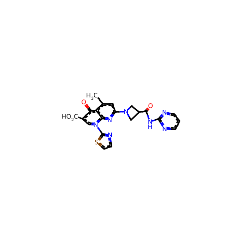 Cc1cc(N2CC(C(=O)Nc3ncccn3)C2)nc2c1c(=O)c(C(=O)O)cn2-c1nccs1